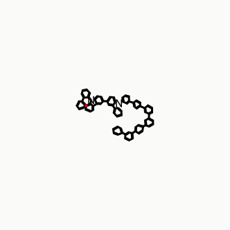 c1ccc(-c2cccc(-c3ccc(-c4cccc(-c5cccc(-c6ccc(-c7cccc(-n8c9ccccc9c9cc(-c%10ccc%11c(c%10)c%10ccccc%10n%11-c%10ccccc%10-c%10ccccc%10)ccc98)c7)cc6)c5)c4)cc3)c2)cc1